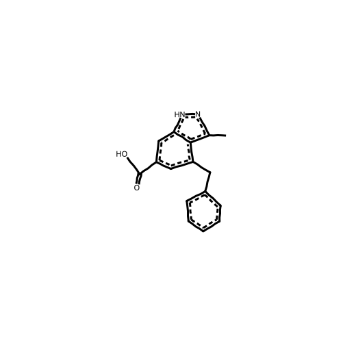 Cc1n[nH]c2cc(C(=O)O)cc(Cc3ccccc3)c12